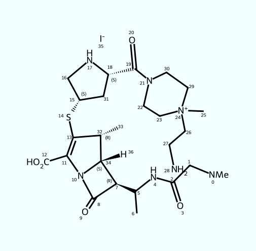 CNCC(=O)NC(C)[C@H]1C(=O)N2C(C(=O)O)=C(S[C@@H]3CN[C@H](C(=O)N4CC[N+](C)(CCN)CC4)C3)[C@H](C)[C@H]12.[I-]